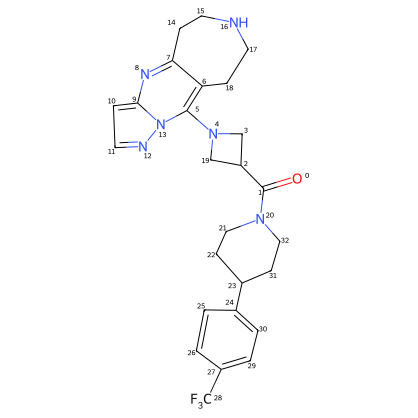 O=C(C1CN(c2c3c(nc4ccnn24)CCNCC3)C1)N1CCC(c2ccc(C(F)(F)F)cc2)CC1